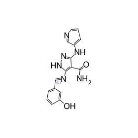 NC(=O)c1c(Nc2cccnc2)n[nH]c1/N=C/c1cccc(O)c1